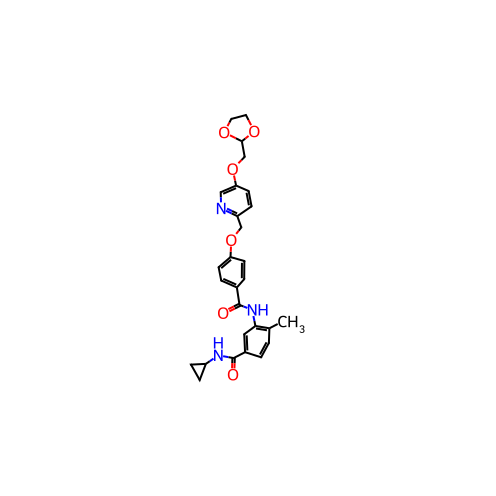 Cc1ccc(C(=O)NC2CC2)cc1NC(=O)c1ccc(OCc2ccc(OCC3OCCO3)cn2)cc1